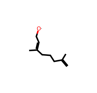 C=C(C)CCCC(C)=CC[O]